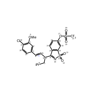 COc1cc(/C=N/N(CC(C)C)C2=NS(=O)(=O)c3cc(OS(=O)(=O)C(F)(F)F)ccc32)ccc1Cl